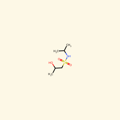 CC(O)CS(=O)(=O)NC(C)C